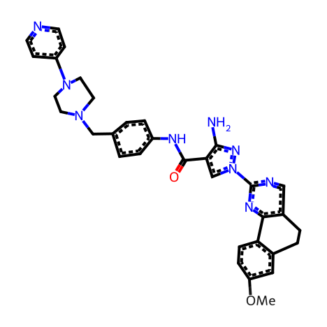 COc1ccc2c(c1)CCc1cnc(-n3cc(C(=O)Nc4ccc(CN5CCN(c6ccncc6)CC5)cc4)c(N)n3)nc1-2